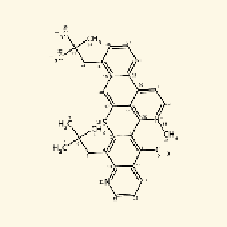 Cc1c2c(c(CC(C)(C)C)c3ncccc13)Sc1cc3c(CC(C)(C)C)cccc3c3cc[n+](C)c-2c13